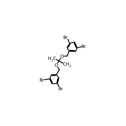 CC(C)(OCc1cc(Br)cc(Br)c1)OCc1cc(Br)cc(Br)c1